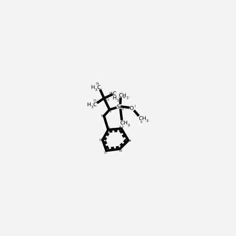 CO[Si](C)(C)C(Cc1ccccc1)C(C)(C)C